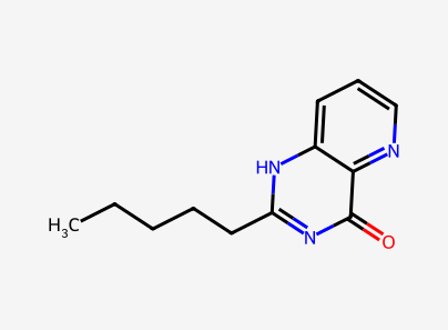 CCCCCc1nc(=O)c2ncccc2[nH]1